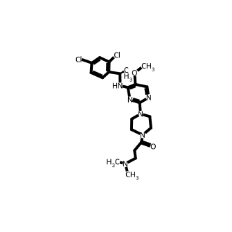 COc1cnc(N2CCN(C(=O)CCN(C)C)CC2)nc1N[C@H](C)c1ccc(Cl)cc1Cl